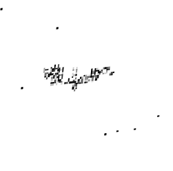 CCC(COCC(O)C(=O)N1CCN(c2ncc(C(F)(F)F)cn2)CC1)Nc1cn[nH]c(=O)c1C(F)(F)F